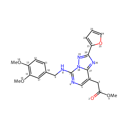 COC(=O)Cc1cnc(NCc2ccc(OC)c(OC)c2)n2nc(-c3ccco3)nc12